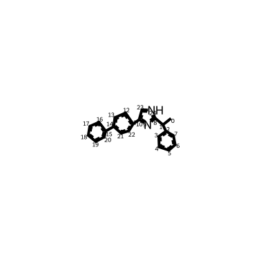 CC(c1ccccc1)c1nc(-c2ccc(-c3ccccc3)cc2)c[nH]1